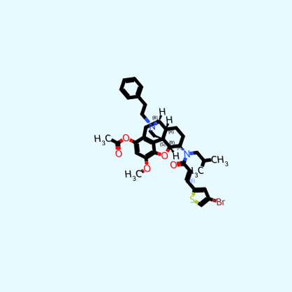 COc1cc(OC(C)=O)c2c3c1O[C@H]1[C@H](N(CC(C)C)C(=O)/C=C/c4cc(Br)cs4)CC[C@H]4[C@@H](C2)N(CCc2ccccc2)CC[C@@]341